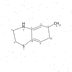 CC1C=C2NCCSC2=CC1